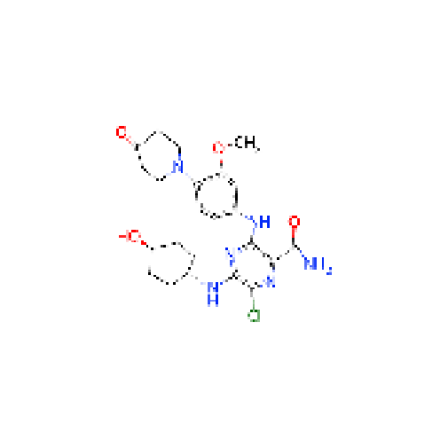 COc1cc(Nc2nc(N[C@H]3CC[C@H](O)CC3)c(Cl)nc2C(N)=O)ccc1N1CCC(=O)CC1